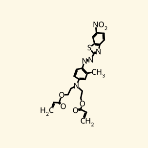 C=CC(=O)OCCN(CCOC(=O)C=C)c1ccc(N=Nc2nc3ccc([N+](=O)[O-])cc3s2)c(C)c1